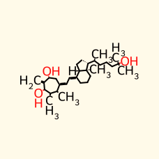 C=C1[C@H](O)C/C(=C\C=C2/CCC[C@]3(C)[C@@H]([C@@H](C)CCCC(C)(C)O)CC[C@@H]23)C(C)C(C)[C@H]1O